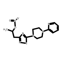 CC(Cc1nsc(N2CCN(c3ccccn3)CC2)n1)O[N+](=O)[O-]